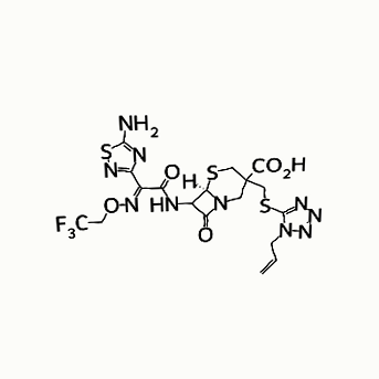 C=CCn1nnnc1SCC1(C(=O)O)CS[C@@H]2C(NC(=O)C(=NOCC(F)(F)F)c3nsc(N)n3)C(=O)N2C1